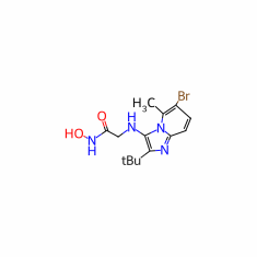 Cc1c(Br)ccc2nc(C(C)(C)C)c(NCC(=O)NO)n12